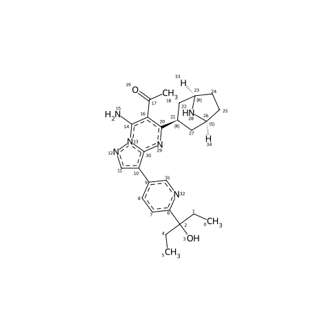 CCC(O)(CC)c1ccc(-c2cnn3c(N)c(C(C)=O)c([C@H]4C[C@H]5CC[C@@H](C4)N5)nc23)cn1